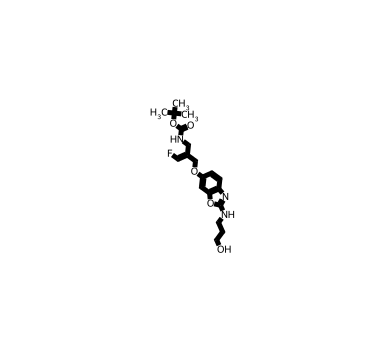 CC(C)(C)OC(=O)NCC(=CF)COc1ccc2nc(NCCCO)oc2c1